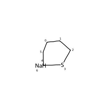 C1CCSCC1.[NaH]